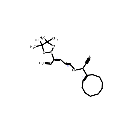 C=C/C(=C\C=C\NC(C#N)/C1=C/CCCCCCCC1)B1OC(C)(C)C(C)(C)O1